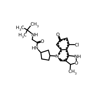 CC1ONc2c1cn(C1CCC(NC(=O)CNC(C)(C)C)C1)c1cc(=O)cc(Cl)c2-1